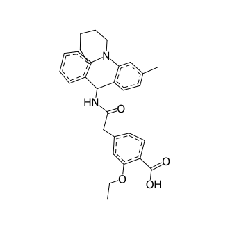 CCOc1cc(CC(=O)NC(c2ccccc2)c2ccc(C)cc2N2CCCCC2)ccc1C(=O)O